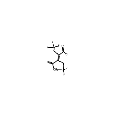 O=C(O)C(CC(F)(F)F)=C(CC(F)(F)F)C(=O)O